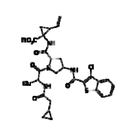 C=CC1CC1(NC(=O)C1CC(NC(=O)c2sc3ccccc3c2Cl)CN1C(=O)C(NC(=O)CC1CC1)C(C)(C)C)C(=O)OCC